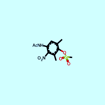 CC(=O)Nc1cc(C)c(OS(C)(=O)=O)c(C)c1[N+](=O)[O-]